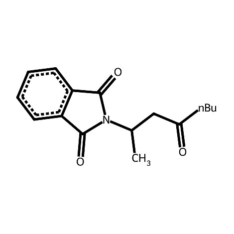 CCCCC(=O)CC(C)N1C(=O)c2ccccc2C1=O